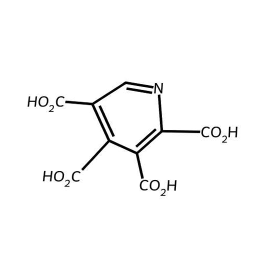 O=C(O)c1cnc(C(=O)O)c(C(=O)O)c1C(=O)O